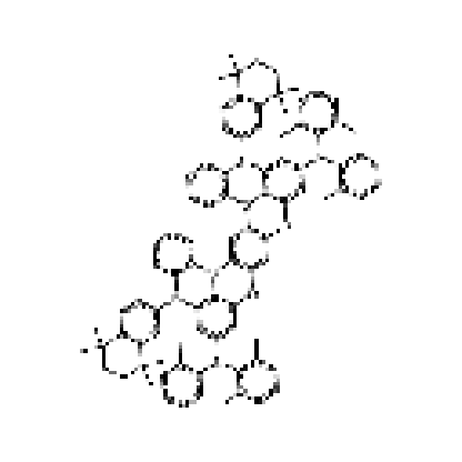 Cc1ccccc1N(c1cc2c3c(c1)N(c1ccc4c(c1)C(C)(C)CCC4(C)C)c1ccccc1B3c1cc3c(cc1O2)Oc1cc(N(c2ccccc2C)c2c(C)cccc2C)cc2c1B3c1ccccc1N2c1ccc2c(c1)C(C)(C)CCC2(C)C)c1c(C)cccc1C